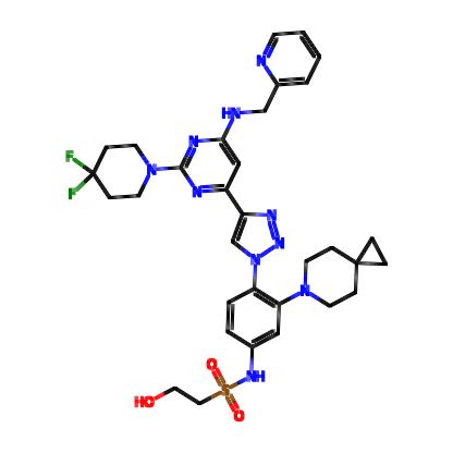 O=S(=O)(CCO)Nc1ccc(-n2cc(-c3cc(NCc4ccccn4)nc(N4CCC(F)(F)CC4)n3)nn2)c(N2CCC3(CC2)CC3)c1